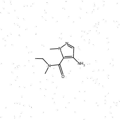 CCN(C)C(=O)c1c(N)cnn1C